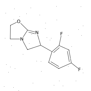 Fc1ccc(C2CN3CCOC3=N2)c(F)c1